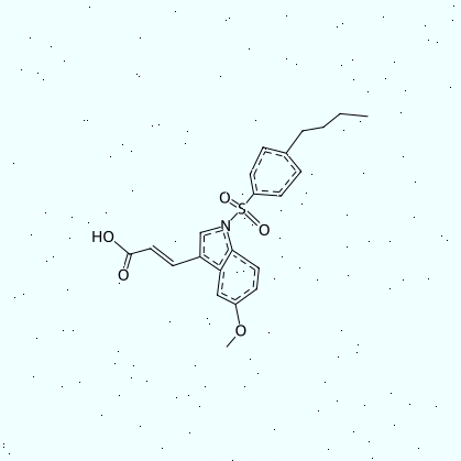 CCCCc1ccc(S(=O)(=O)n2cc(/C=C/C(=O)O)c3cc(OC)ccc32)cc1